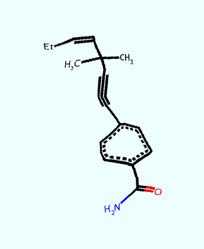 CC/C=C\C(C)(C)C#Cc1ccc(C(N)=O)cc1